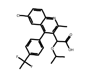 Cc1nc2ccc(Cl)cc2c(-c2ccc(C(C)(F)F)cc2)c1C(OC(C)C)C(=O)O